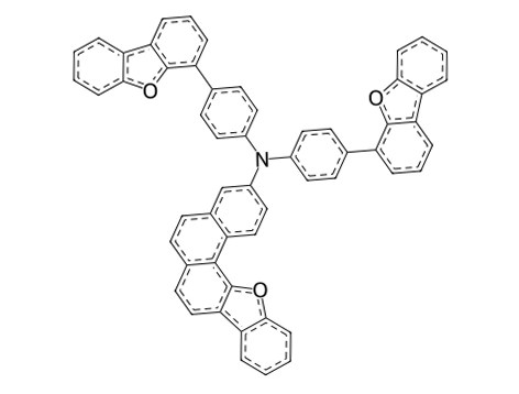 c1ccc2c(c1)oc1c(-c3ccc(N(c4ccc(-c5cccc6c5oc5ccccc56)cc4)c4ccc5c(ccc6ccc7c8ccccc8oc7c65)c4)cc3)cccc12